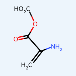 C=C(N)C(=O)OC(=O)O